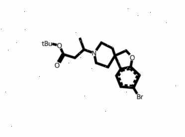 CC(CC(=O)OC(C)(C)C)N1CCC2(CC1)COc1cc(Br)ccc12